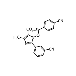 CCOC(=O)c1c(C)nc(-c2cccc(C#N)c2)n1OCc1ccc(C#N)cc1